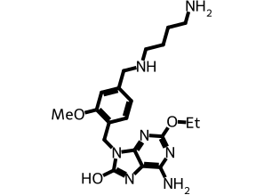 CCOc1nc(N)c2nc(O)n(Cc3ccc(CNCCCCN)cc3OC)c2n1